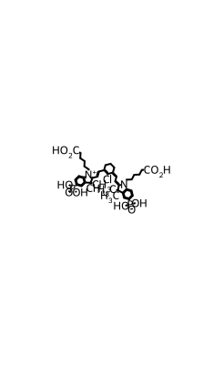 CC1(C)C(/C=C/C2=C(Cl)C(=C\C=C3/N(CCCCCC(=O)O)c4ccc(P(=O)(O)O)cc4C3(C)C)/CCC2)=[N+](CCCCCC(=O)O)c2ccc(P(=O)(O)O)cc21